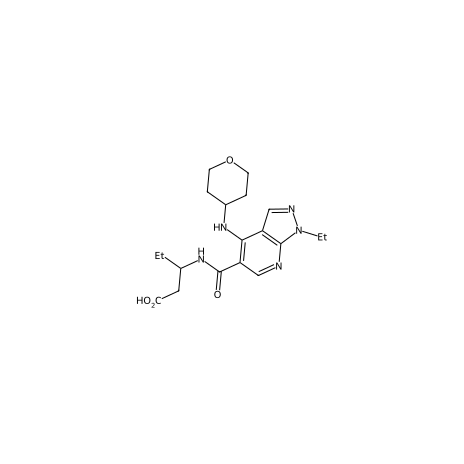 CCC(CC(=O)O)NC(=O)c1cnc2c(cnn2CC)c1NC1CCOCC1